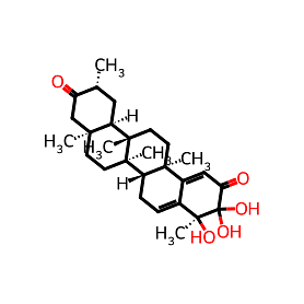 C[C@@H]1C[C@@H]2[C@@](C)(CC[C@]3(C)[C@H]4CC=C5C(=CC(=O)C(O)(O)[C@@]5(C)O)[C@]4(C)CC[C@@]23C)CC1=O